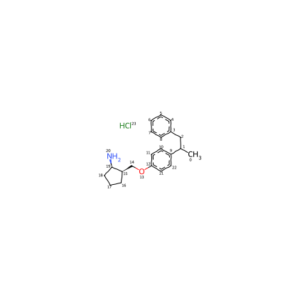 CC(Cc1ccccc1)c1ccc(OC[C@H]2CCC[C@H]2N)cc1.Cl